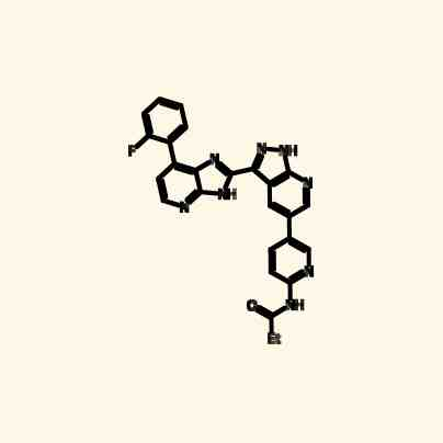 CCC(=O)Nc1ccc(-c2cnc3[nH]nc(-c4nc5c(-c6ccccc6F)ccnc5[nH]4)c3c2)cn1